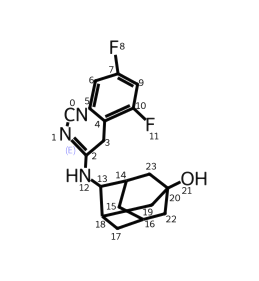 N#C/N=C(\Cc1ccc(F)cc1F)NC1C2CC3CC1CC(O)(C3)C2